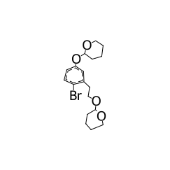 Brc1ccc(OC2CCCCO2)cc1CCOC1CCCCO1